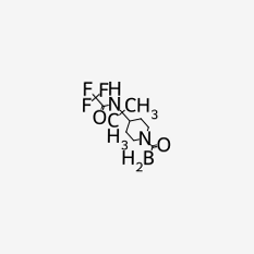 BC(=O)N1CCC(C(C)(C)NC(=O)C(F)(F)F)CC1